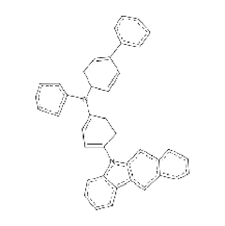 C1=CC(N(C2=CC=C(n3c4ccccc4c4cc5ccccc5cc43)CC2)c2ccccc2)CC=C1c1ccccc1